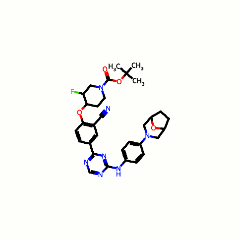 CC(C)(C)OC(=O)N1CCC(Oc2ccc(-c3ncnc(Nc4ccc(N5CC6CCC(C5)O6)cc4)n3)cc2C#N)C(F)C1